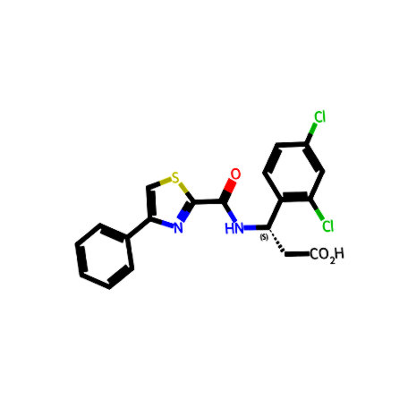 O=C(O)C[C@H](NC(=O)c1nc(-c2ccccc2)cs1)c1ccc(Cl)cc1Cl